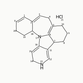 C1=CC2=CCC3=C4C(CCC3)C3=CNCC=C3N4C2CC1.Cl